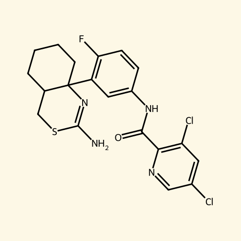 NC1=NC2(c3cc(NC(=O)c4ncc(Cl)cc4Cl)ccc3F)CCCCC2CS1